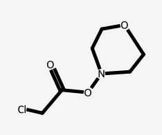 O=C(CCl)ON1CCOCC1